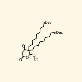 CCCCCCCCCCCCCCCCCCC1(CCCCCCCCCCCCCCCCCC)[C](OCC)OC(=O)CC1=O